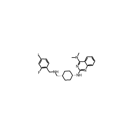 CN(C)c1nc(N[C@H]2CC[C@@H](CNCc3ccc(I)cc3F)CC2)nc2ccccc12